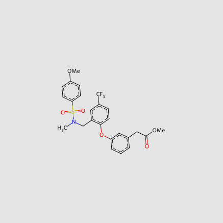 COC(=O)Cc1cccc(Oc2ccc(C(F)(F)F)cc2CN(C)S(=O)(=O)c2ccc(OC)cc2)c1